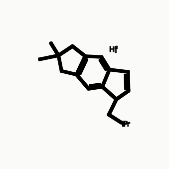 CC(C)C[C]1C=Cc2cc3c(cc21)CC(C)(C)C3.[Hf]